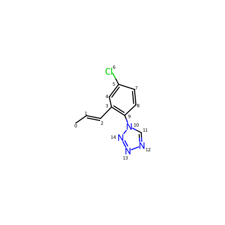 C/C=C/c1cc(Cl)ccc1-n1cnnn1